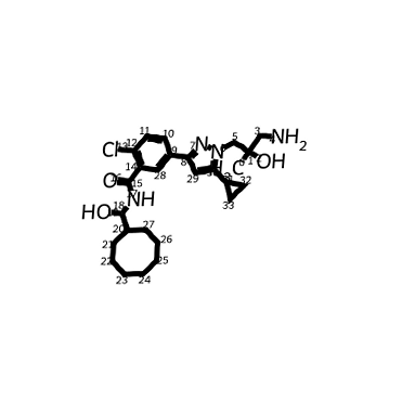 CC(O)(CN)Cn1nc(-c2ccc(Cl)c(C(=O)NC(O)C3CCCCCCC3)c2)cc1C1CC1